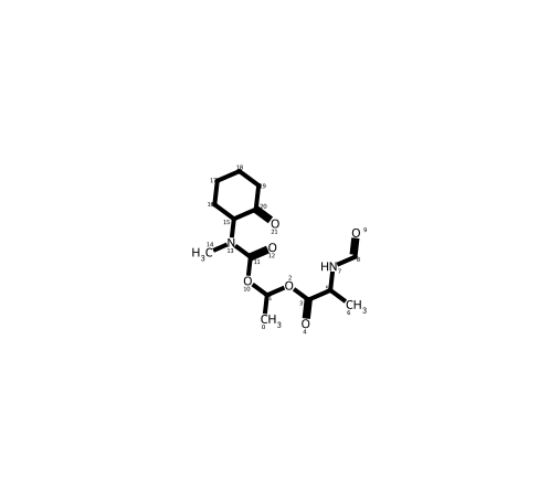 CC(OC(=O)C(C)NC=O)OC(=O)N(C)C1CCCCC1=O